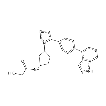 CCC(=O)N[C@H]1CCC(n2cncc2-c2ccc(-c3cccc4[nH]ncc34)cc2)C1